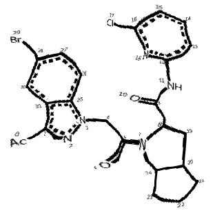 CC(=O)c1nn(CC(=O)N2C(C(=O)Nc3cccc(Cl)n3)CC3CCCC32)c2ccc(Br)cc12